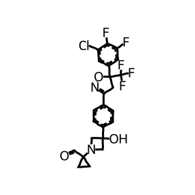 O=CC1(N2CC(O)(c3ccc(C4=NOC(c5cc(F)c(F)c(Cl)c5)(C(F)(F)F)C4)cc3)C2)CC1